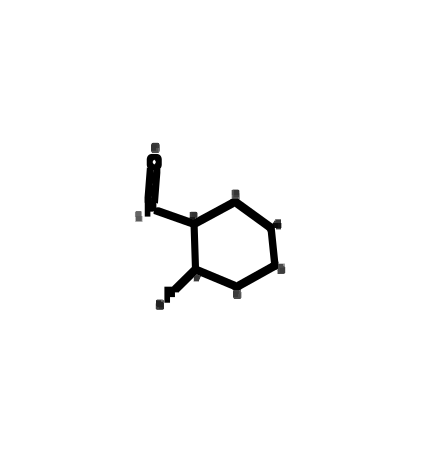 O=PC1CCCCC1F